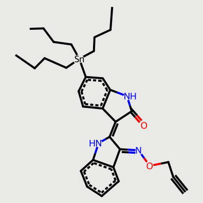 C#CCON=C1C(=C2C(=O)Nc3c[c]([Sn]([CH2]CCC)([CH2]CCC)[CH2]CCC)ccc32)Nc2ccccc21